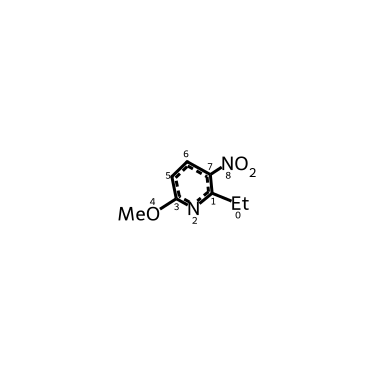 CCc1nc(OC)ccc1[N+](=O)[O-]